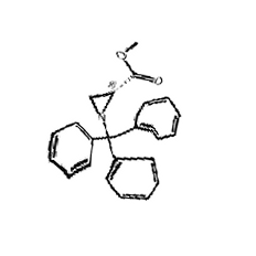 COC(=O)[C@H]1CN1C(c1ccccc1)(c1ccccc1)c1ccccc1